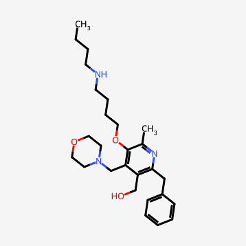 CCCCNCCCCOc1c(C)nc(Cc2ccccc2)c(CO)c1CN1CCOCC1